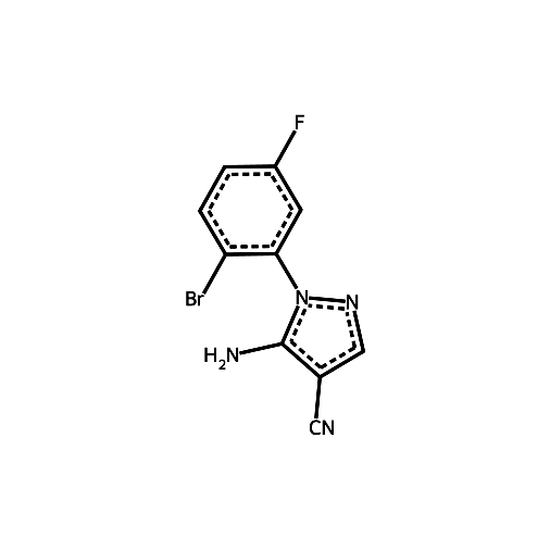 N#Cc1cnn(-c2cc(F)ccc2Br)c1N